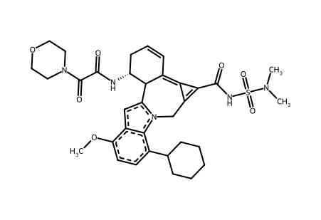 COc1ccc(C2CCCCC2)c2c1cc1n2CC2=C(C(=O)NS(=O)(=O)N(C)C)C2=C2C=CC[C@@H](NC(=O)C(=O)N3CCOCC3)C21